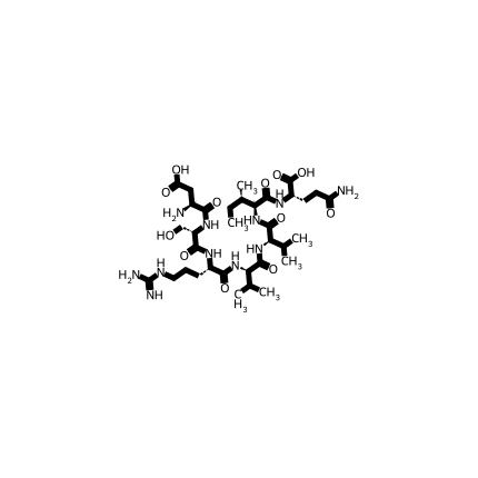 CC[C@H](C)[C@H](NC(=O)[C@@H](NC(=O)[C@@H](NC(=O)[C@H](CCCNC(=N)N)NC(=O)[C@H](CO)NC(=O)[C@@H](N)CC(=O)O)C(C)C)C(C)C)C(=O)N[C@@H](CCC(N)=O)C(=O)O